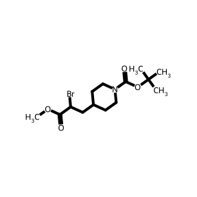 COC(=O)C(Br)CC1CCN(C(=O)OC(C)(C)C)CC1